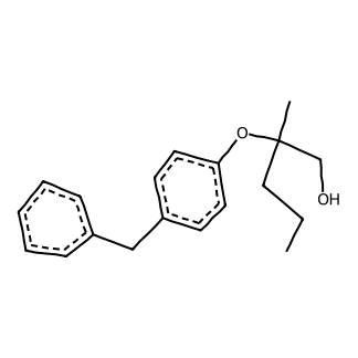 CCCC(C)(CO)Oc1ccc(Cc2ccccc2)cc1